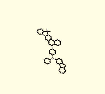 CC1(C)c2ccccc2-c2cc3cc(-c4ccc(N(c5ccccc5)c5ccc6sc7ccccc7c6c5)cc4)c4ccccc4c3cc21